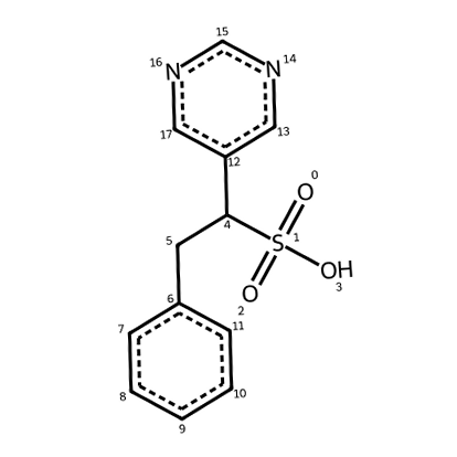 O=S(=O)(O)C(Cc1ccccc1)c1cncnc1